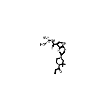 C=CC(=O)N1CCN(c2cnc3[nH]cc(C(=O)N[C@H](CO)[C@@H](C)CC)c3n2)CC1(C)C